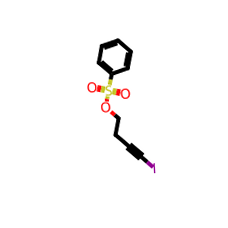 O=S(=O)(OCCC#CI)c1ccccc1